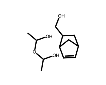 CC(O)OC(C)O.OCC1CC2C=CC1C2